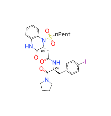 CCCCCS(=O)(=O)N1c2ccccc2NC(=O)[C@H]1CC(=O)N[C@@H](Cc1ccc(I)cc1)C(=O)N1CCCC1